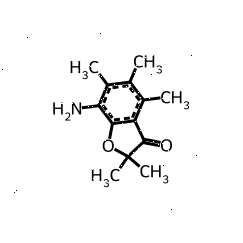 Cc1c(C)c(N)c2c(c1C)C(=O)C(C)(C)O2